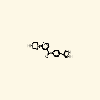 O=C(c1ccc(-c2cn[nH]c2)cc1)c1ccnc(N2CCNCC2)c1